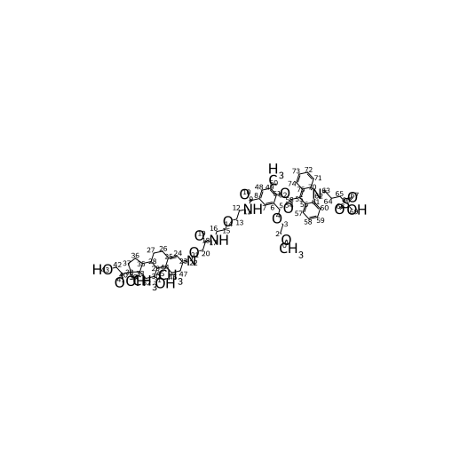 COCCOCc1cc(C(=O)NCCOCCNC(=O)CO/N=C2\C=C3CCC4C(C(O)CC5(C)C4CCC5(O)C(=O)CO)C3(C)CC2)cc(C)c1OC(=O)c1c2ccccc2[n+](CCCS(=O)(=O)O)c2ccccc12